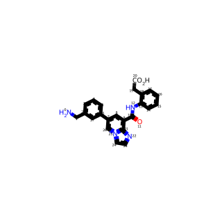 NCc1cccc(-c2cc(C(=O)Nc3ccccc3CC(=O)O)c3nccn3c2)c1